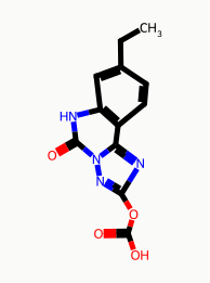 CCc1ccc2c(c1)[nH]c(=O)n1nc(OC(=O)O)nc21